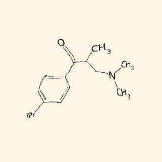 CC(CN(C)C)C(=O)c1ccc(C(C)C)cc1